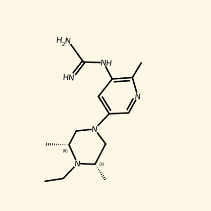 CCN1[C@H](C)CN(c2cnc(C)c(NC(=N)N)c2)C[C@@H]1C